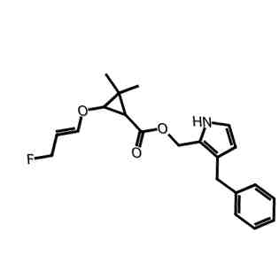 CC1(C)C(OC=CCF)C1C(=O)OCc1[nH]ccc1Cc1ccccc1